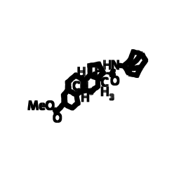 COC(=O)C1=CC2=CC[C@H]3[C@@H]4CC[C@H](C(=O)NC5C6CC7CC(C6)CC5C7)[C@@]4(C)CC[C@@H]3[C@@]2(C)CC1